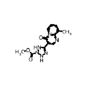 COC(=O)N1NN=C(c2cnc3c(C)cccn3c2=O)N1